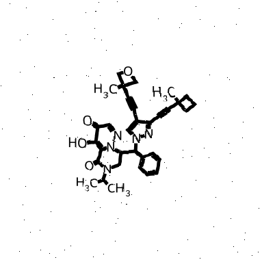 CC(C)N1CC(C(c2ccccc2)n2cc(C#CC3(C)COC3)c(C#CC3(C)CCC3)n2)n2ncc(=O)c(O)c2C1=O